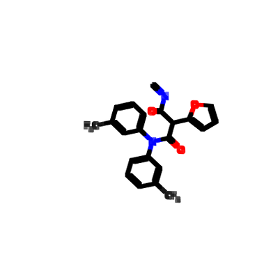 C=NC(=O)C(C(=O)N(c1cccc(C(F)(F)F)c1)c1cccc(C(F)(F)F)c1)c1ccco1